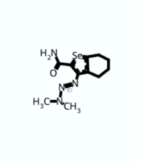 CN(C)/N=N/c1c(C(N)=O)[se]c2c1CCCC2